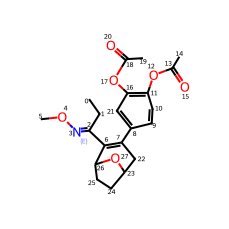 CC/C(=N\OC)C1=C(c2ccc(OC(C)=O)c(OC(C)=O)c2)CC2CCC1O2